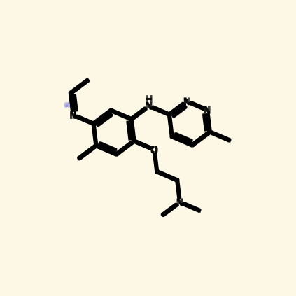 C/C=N\c1cc(Nc2ccc(C)nn2)c(OCCN(C)C)cc1C